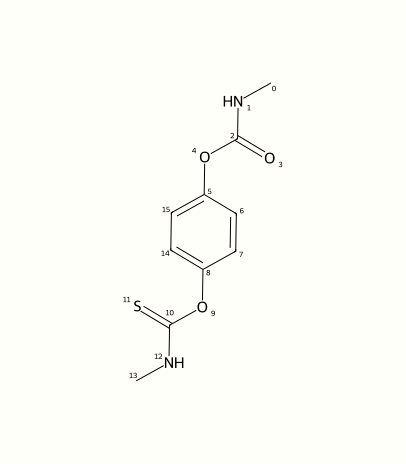 CNC(=O)Oc1ccc(OC(=S)NC)cc1